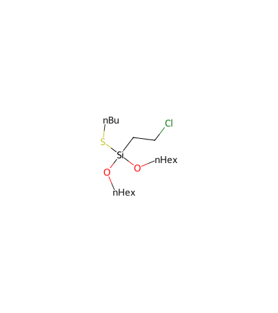 CCCCCCO[Si](CCCl)(OCCCCCC)SCCCC